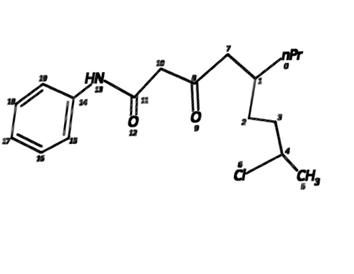 CCCC(CCC(C)Cl)CC(=O)CC(=O)Nc1ccccc1